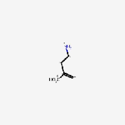 C=C(CCN)C(=O)O